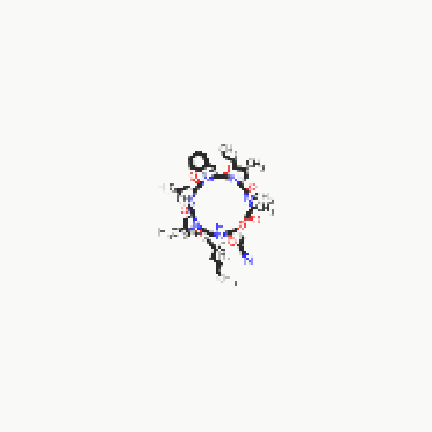 CCCCC(C)C[C@@H]1NC(=O)[C@H](CC2CCCCC2)N(C)C(=O)[C@H](CC(C)C)NC(=O)[C@H](CC(C)C)N(C)C(=O)[C@H](C[C@H](C)CCCC)NC(=O)[C@@H](CCC#N)OC(=O)[C@H](C)N(C)C1=O